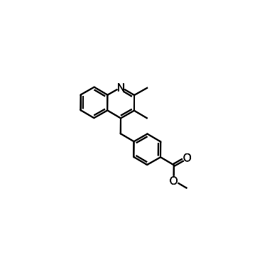 COC(=O)c1ccc(Cc2c(C)c(C)nc3ccccc23)cc1